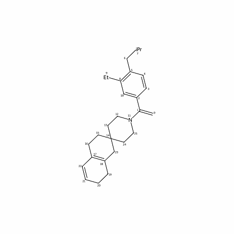 C=C(c1ccc(CC(C)C)c(CC)c1)N1CCC2(CCC3=C(CCC=C3)C2)CC1